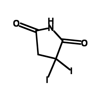 O=C1CC(I)(I)C(=O)N1